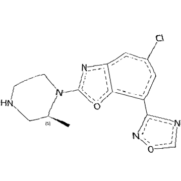 C[C@H]1CNCCN1c1nc2cc(Cl)cc(-c3ncon3)c2o1